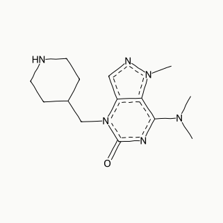 CN(C)c1nc(=O)n(CC2CCNCC2)c2cnn(C)c12